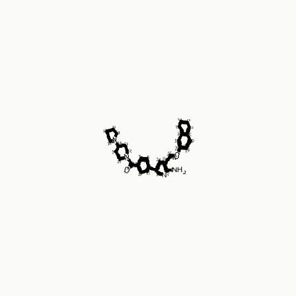 Nc1ncc(-c2ccc(C(=O)N3CCC(N4CCCC4)CC3)cc2)cc1COc1ccc2ccccc2c1